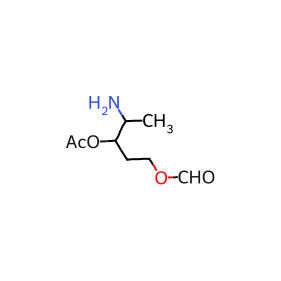 CC(=O)OC(CCOC=O)C(C)N